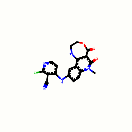 Cn1c(=O)c2c(c3cc(Nc4ccnc(Cl)c4C#N)ccc31)NCCOC2=O